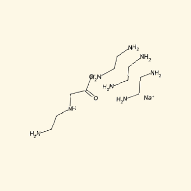 NCCN.NCCN.NCCN.NCCNCC(=O)[O-].[Na+]